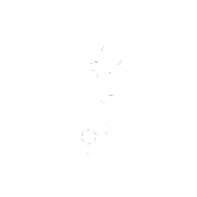 O=C(NC1CCN(C(=O)c2ccc(O)c(O)c2)C1)OC[C@H]1[C@H](C(=O)O)N2C(=O)C[C@H]2S1(=O)=O